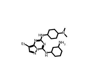 CCc1cnn2c(NC3CCCC(N)C3)nc(NC3CCC(N(C)C)CC3)nc12